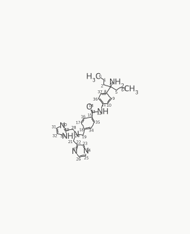 CCCC(N)(CCC)c1ccc(NC(=O)c2ccc(CN(Cc3cnccn3)Cc3ncc[nH]3)cc2)cc1